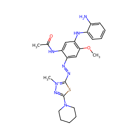 COc1cc(N=Nc2sc(N3CCCCC3)n[n+]2C)c(NC(C)=O)cc1Nc1ccccc1N